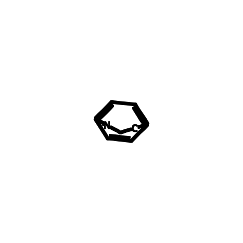 c1cc2ccc1CC[N]2